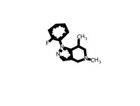 CC1CN(C)Cc2cnn(-c3ccccc3F)c21